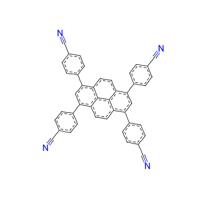 N#Cc1ccc(-c2cc(-c3ccc(C#N)cc3)c3ccc4c(-c5ccc(C#N)cc5)cc(-c5ccc(C#N)cc5)c5ccc2c3c54)cc1